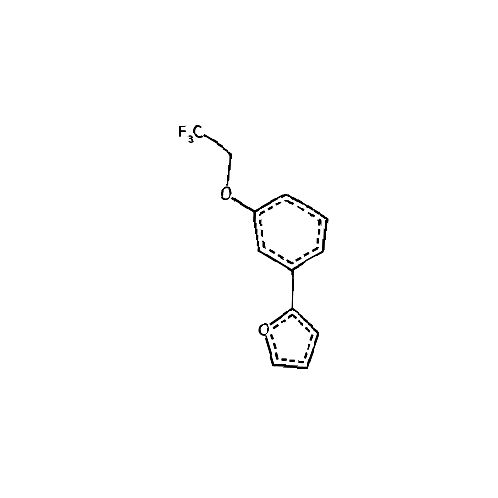 FC(F)(F)COc1cccc(-c2ccco2)c1